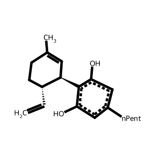 C=C[C@@H]1CCC(C)=C[C@H]1c1c(O)cc(CCCCC)cc1O